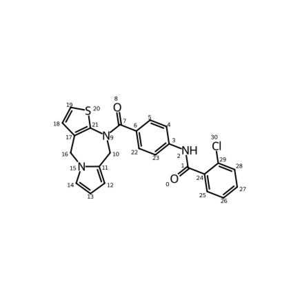 O=C(Nc1ccc(C(=O)N2Cc3cccn3Cc3ccsc32)cc1)c1ccccc1Cl